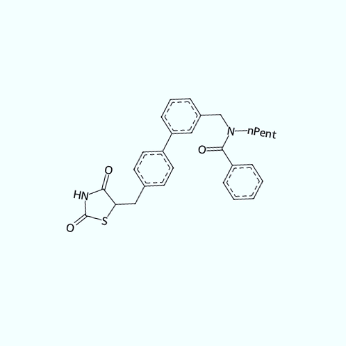 CCCCCN(Cc1cccc(-c2ccc(CC3SC(=O)NC3=O)cc2)c1)C(=O)c1ccccc1